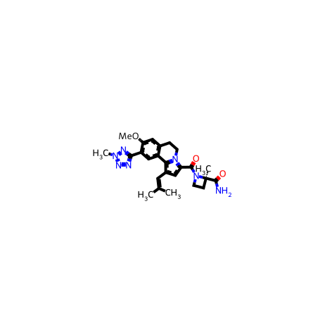 COc1cc2c(cc1-c1nnn(C)n1)-c1c(C=C(C)C)cc(C(=O)N3CC[C@]3(C)C(N)=O)n1CC2